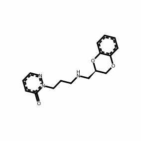 O=c1cccnn1CCCNC[C@@H]1COc2ccccc2O1